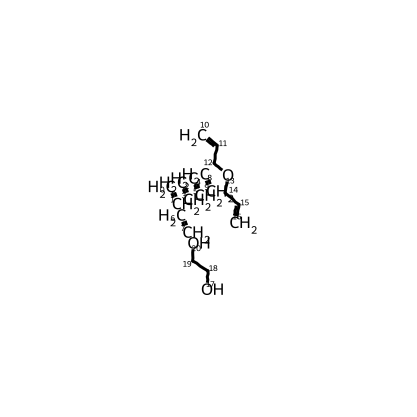 C=C.C=C.C=C.C=C.C=C.C=CCOCC=C.OCCO